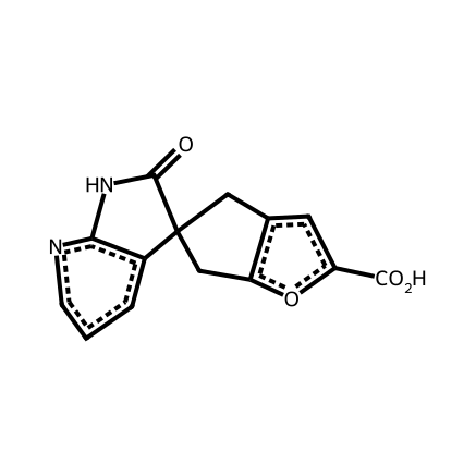 O=C(O)c1cc2c(o1)CC1(C2)C(=O)Nc2ncccc21